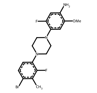 COc1cc(N2CCN(c3ccc(Br)c(C)c3F)CC2)c(F)cc1N